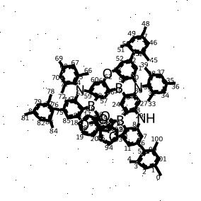 Cc1cc(C)c(-c2cc3c4c(c2)Oc2c(oc5ccccc25)B4c2cc4c(cc2N3)N(c2c(C)cc(C)cc2C)c2cc(-c3c(C)cc(C)cc3C)cc3c2B4c2cc4c(cc2O3)N(c2c(C)cc(C)cc2C)c2cc(-c3c(C)cc(C)cc3C)cc3c2B4c2oc4ccccc4c2O3)c(C)c1